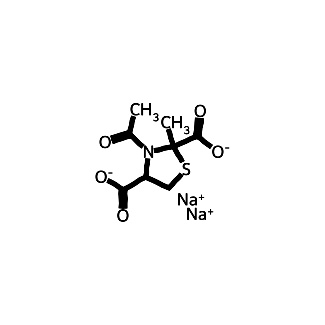 CC(=O)N1C(C(=O)[O-])CSC1(C)C(=O)[O-].[Na+].[Na+]